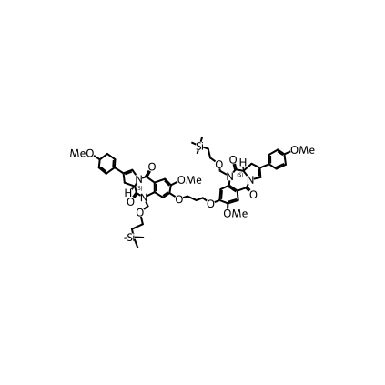 COc1ccc(C2=CN3C(=O)c4cc(OC)c(OCCCOc5cc6c(cc5OC)C(=O)N5C=C(C7=CCC(OC)C=C7)C[C@H]5C(=O)N6COCC[Si](C)(C)C)cc4N(COCC[Si](C)(C)C)C(=O)[C@@H]3C2)cc1